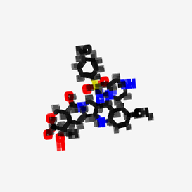 C=C1C=Cc2nc3c(c([N+]4(NS(=O)(=O)c5ccc([N+](=O)[O-])cc5)CCNCC4)c2C1)Cn1c-3cc2c(c1=O)COC(=O)C2(O)CC